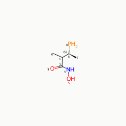 CC(C(=O)NO)[C@H](C)P